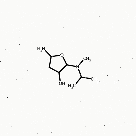 CC(C)N(C)C1OC(N)CC1O